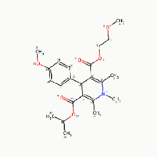 COCCOC(=O)C1=C(C)N(C)C(C)=C(C(=O)OC(C)C)C1c1ccc(OC)cc1